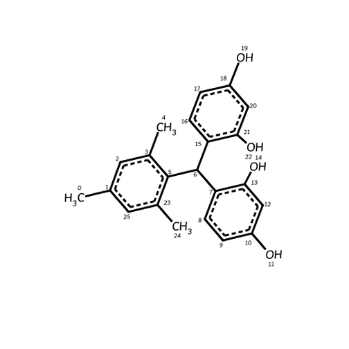 Cc1cc(C)c(C(c2ccc(O)cc2O)c2ccc(O)cc2O)c(C)c1